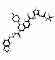 CN1CCN(CCN(Cc2ccc(C(=O)Nc3cscc3NC(=O)OC(C)(C)C)nc2)C(=O)NCCc2ccc3c(c2)OCO3)CC1